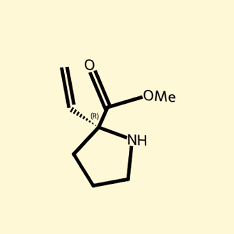 C=C[C@@]1(C(=O)OC)CCCN1